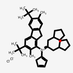 Cc1cc2c(cc1C(C)(C)C)-c1cc(C(C)(C)C)c(C)[c]([Zr+2]([C]3=CC=CC3)=[C](CC3CCCC3)CC3CCCC3)c1C2.[Cl-].[Cl-]